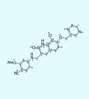 COc1cc(NCc2cc3ccc(OCc4cnccn4)c(Cl)c3[nH]c2=O)ccc1C#N